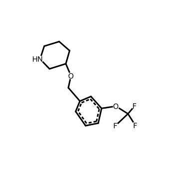 FC(F)(F)Oc1cccc(COC2CCCNC2)c1